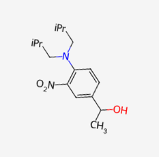 CC(C)CN(CC(C)C)c1ccc(C(C)O)cc1[N+](=O)[O-]